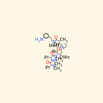 CC[C@H](C)[C@@H]([C@@H](CC(=O)N1CCC[C@H]1[C@H](OC)[C@@H](C)C(=O)N(C)CCc1cccc(N)c1)OC)N(C)C(=O)[C@@H](NC(=O)[C@H](C(C)C)N(C)C)C(C)C